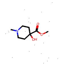 COC(=O)C1(O)CCN(C)CC1